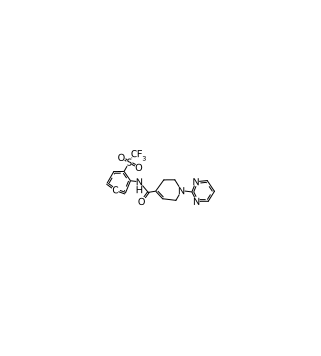 O=C(Nc1ccccc1S(=O)(=O)C(F)(F)F)C1=CCN(c2ncccn2)CC1